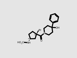 CC(C)[C@]1(C(=O)N2CCC(O)(c3ccccc3)CC2)CC[C@@H](NC(=O)O)C1